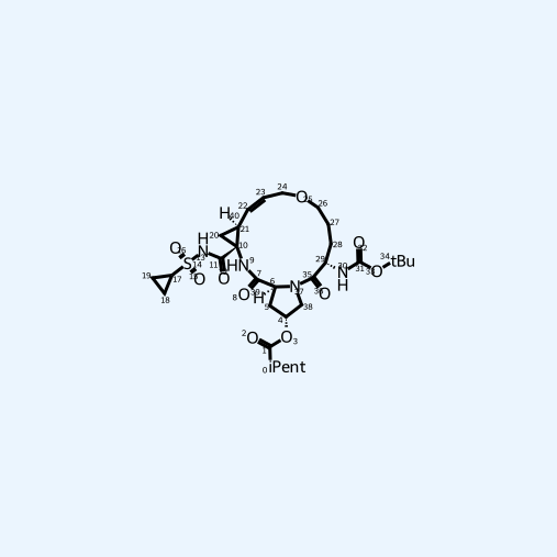 CCCC(C)C(=O)O[C@@H]1C[C@H]2C(=O)N[C@]3(C(=O)NS(=O)(=O)C4CC4)C[C@H]3/C=C\COCCC[C@H](NC(=O)OC(C)(C)C)C(=O)N2C1